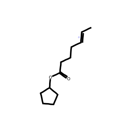 C/C=C/CCCC(=O)OC1CCCC1